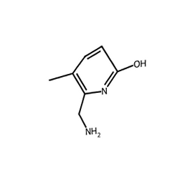 Cc1ccc(O)nc1CN